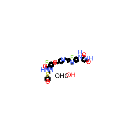 CN(c1ccc(NC2CCC(=O)NC2=O)cc1F)C1CC(CN2CCC(COc3cc(F)c4c(=O)[nH]c(CSC5CCOCC5)nc4c3)CC2)C1.O=CO